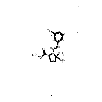 COC(=O)[C@@H]1CCC(C)(C)N1N=Cc1cccc(F)c1